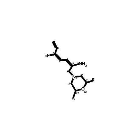 C=C/C(F)=C\C=C(\N)CN1CC(C)OC(C)C1